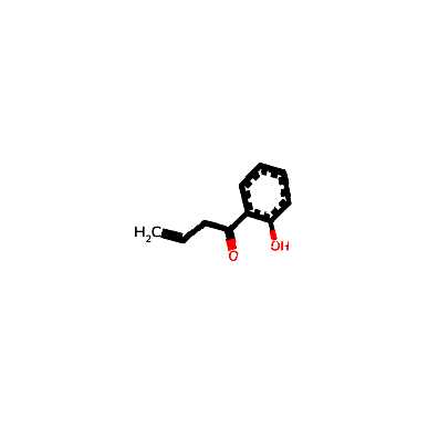 C=CCC(=O)c1ccccc1O